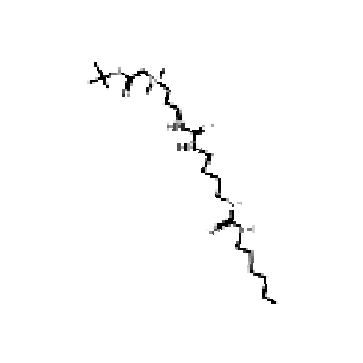 CCCCCCNC(=O)NCCCCNC(=O)NCCC[N+](C)(C)CC(=O)OC(C)(C)C